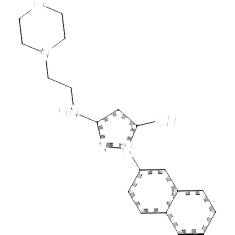 Cc1cc(NCCN2CCOCC2)nn1-c1ccc2ccccc2c1